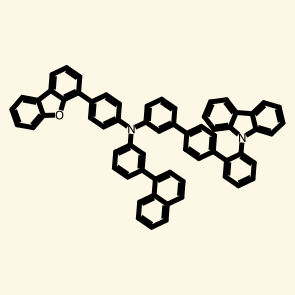 c1cc(-c2ccc(-c3ccccc3-n3c4ccccc4c4ccccc43)cc2)cc(N(c2ccc(-c3cccc4c3oc3ccccc34)cc2)c2cccc(-c3cccc4ccccc34)c2)c1